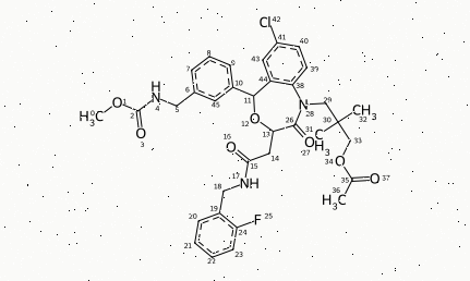 COC(=O)NCc1cccc(C2OC(CC(=O)NCc3ccccc3F)C(=O)N(CC(C)(C)COC(C)=O)c3ccc(Cl)cc32)c1